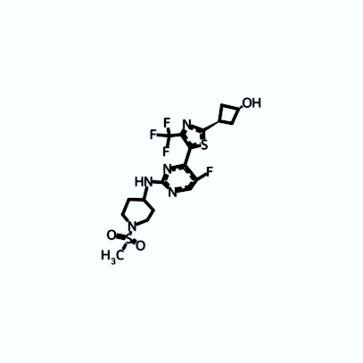 CS(=O)(=O)N1CCC(Nc2ncc(F)c(-c3sc([C@H]4C[C@H](O)C4)nc3C(F)(F)F)n2)CC1